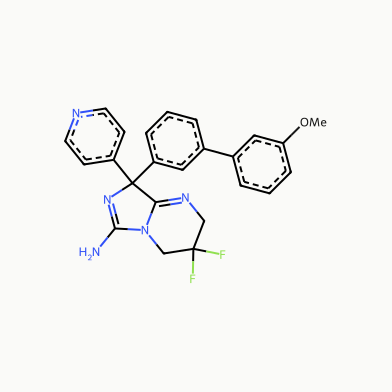 COc1cccc(-c2cccc(C3(c4ccncc4)N=C(N)N4CC(F)(F)CN=C43)c2)c1